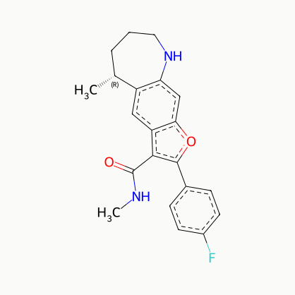 CNC(=O)c1c(-c2ccc(F)cc2)oc2cc3c(cc12)[C@H](C)CCCN3